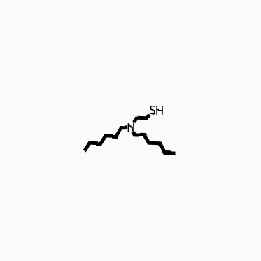 CCCCCCN(CCS)CCCCCC